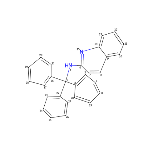 c1ccc(C(Nc2ccc3ccccc3n2)(c2ccccc2)c2ccccc2)cc1